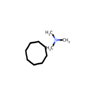 C1CCCCCCC1.CN(C)C